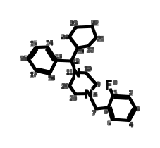 Fc1ccccc1CN1CCN(C(c2ccccc2)C2CCCCC2)CC1